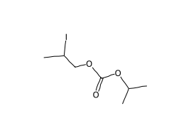 CC(I)COC(=O)OC(C)C